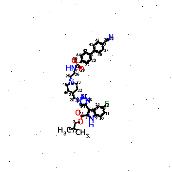 CC(C)COC(=O)c1[nH]c2ccc(F)cc2c1-c1cn(CC2CCN(CCNS(=O)(=O)c3ccc(-c4ccc(C#N)cc4)cc3)CC2)nn1